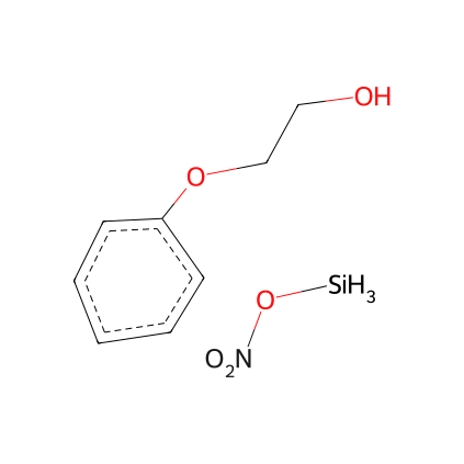 O=[N+]([O-])O[SiH3].OCCOc1ccccc1